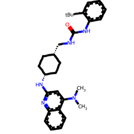 CN(C)c1cc(N[C@H]2CC[C@@H](CNC(=O)Nc3ccccc3C(C)(C)C)CC2)nc2ccccc12